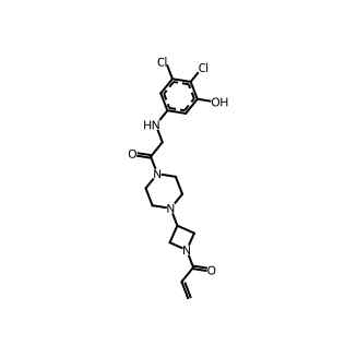 C=CC(=O)N1CC(N2CCN(C(=O)CNc3cc(O)c(Cl)c(Cl)c3)CC2)C1